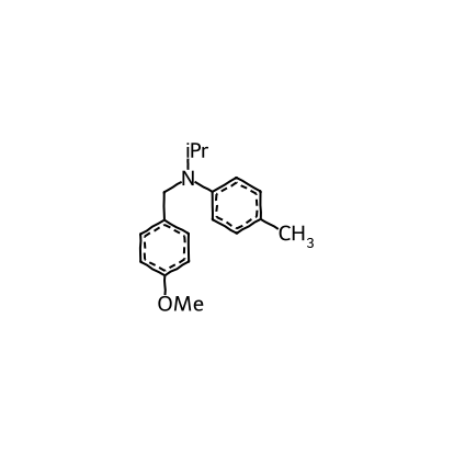 COc1ccc(CN(c2ccc(C)cc2)C(C)C)cc1